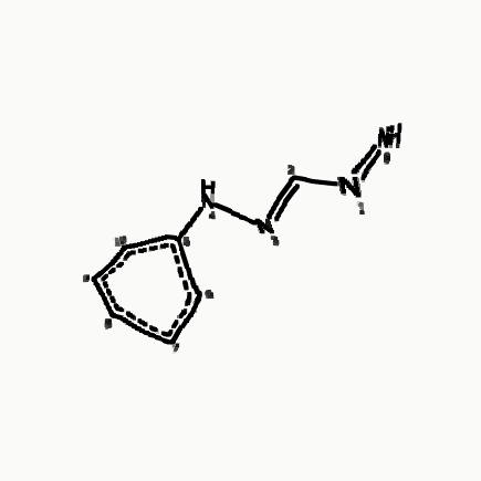 N=NC=NNc1ccccc1